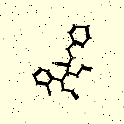 C=CCC(c1ccccc1Br)N(CC=C)C(=O)OCc1ccccc1